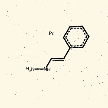 NNC=Cc1ccccc1.[Pt]